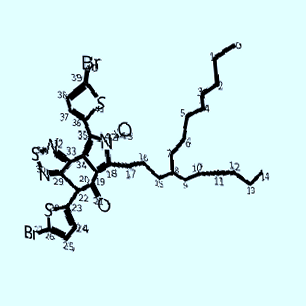 CCCCCCCCC(CCCCCC)CCCC1=C2C(=O)C(c3ccc(Br)s3)c3nsnc3C2=C(c2ccc(Br)s2)[N+]1=O